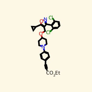 CCOC(=O)C#Cc1ccc(N2CCC(OCc3c(-c4c(Cl)cccc4Cl)noc3C3CC3)CC2)cc1